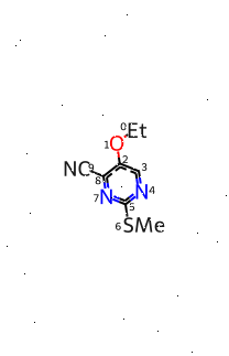 CCOc1cnc(SC)nc1C#N